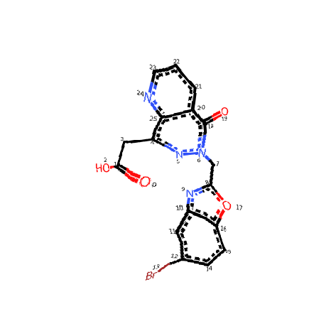 O=C(O)Cc1nn(Cc2nc3cc(Br)ccc3o2)c(=O)c2cccnc12